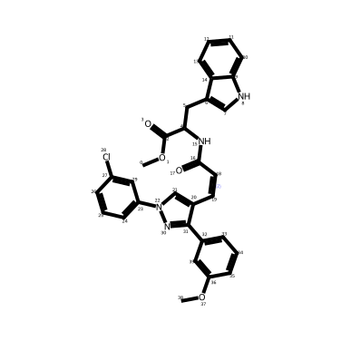 COC(=O)C(Cc1c[nH]c2ccccc12)NC(=O)/C=C\c1cn(-c2cccc(Cl)c2)nc1-c1cccc(OC)c1